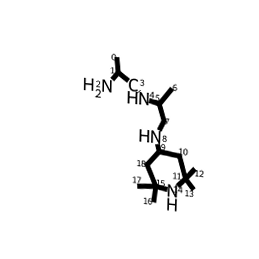 CC(N)CNC(C)CNC1CC(C)(C)NC(C)(C)C1